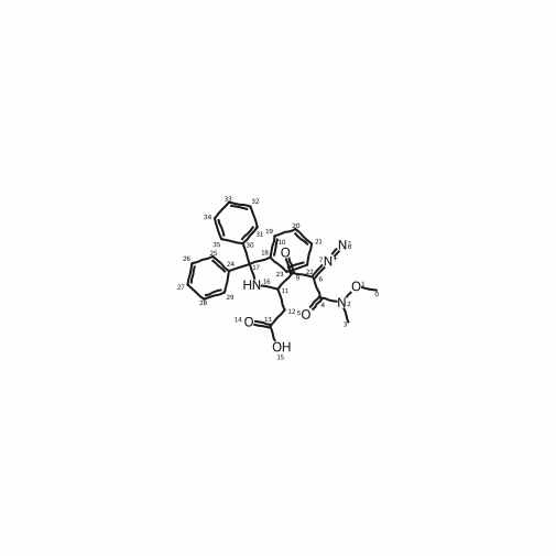 CON(C)C(=O)C(=[N+]=[N-])C(=O)C(CC(=O)O)NC(c1ccccc1)(c1ccccc1)c1ccccc1